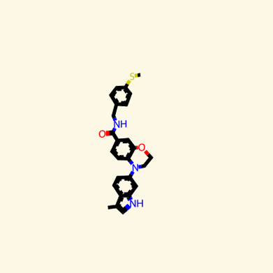 CSc1ccc(CNC(=O)c2ccc3c(c2)OCCN3c2ccc3c(C)c[nH]c3c2)cc1